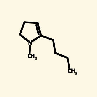 CCCCC1=CCCN1C